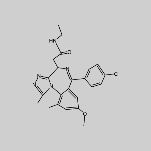 CCNC(=O)CC1N=C(c2ccc(Cl)cc2)c2cc(OC)cc(C)c2-n2c(C)nnc21